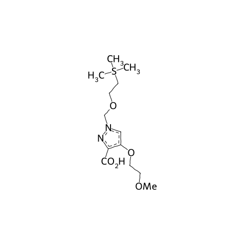 COCCOc1cn(COCCS(C)(C)C)nc1C(=O)O